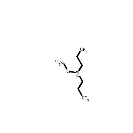 FC(F)(F)CC[SiH](CCC(F)(F)F)O[SiH3]